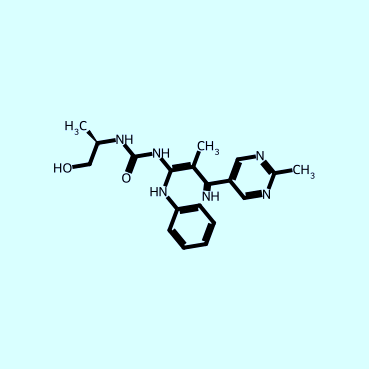 C/C(C(=N)c1cnc(C)nc1)=C(\NC(=O)N[C@H](C)CO)Nc1ccccc1